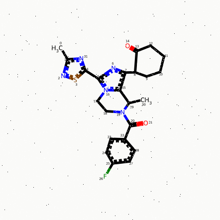 Cc1nsc(-c2nc(C3CCCCC3=O)c3n2CCN(C(=O)c2ccc(F)cc2)C3C)n1